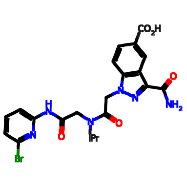 CC(C)N(CC(=O)Nc1cccc(Br)n1)C(=O)Cn1nc(C(N)=O)c2cc(C(=O)O)ccc21